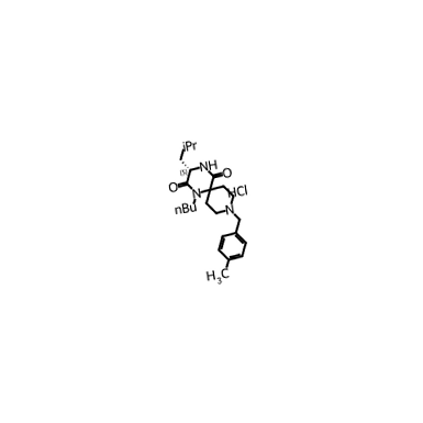 CCCCN1C(=O)[C@H](CC(C)C)NC(=O)C12CCN(Cc1ccc(C)cc1)CC2.Cl